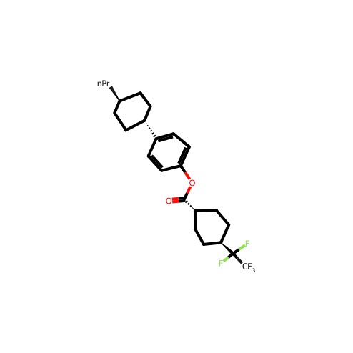 CCC[C@H]1CC[C@H](c2ccc(OC(=O)[C@H]3CC[C@H](C(F)(F)C(F)(F)F)CC3)cc2)CC1